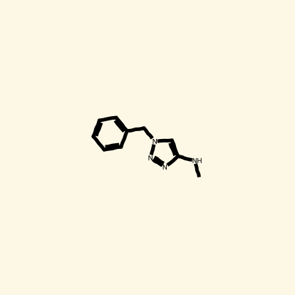 CNc1cn(Cc2ccccc2)nn1